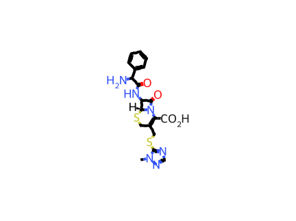 Cn1ncnc1SCC1=C(C(=O)O)N2C(=O)C(NC(=O)C(N)c3ccccc3)[C@H]2SC1